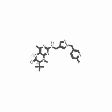 Cc1nc(NCc2cnn(Cc3ccc(F)nc3)c2)nc2c1NC(=O)[C@H](C(C)(C)C)N2C